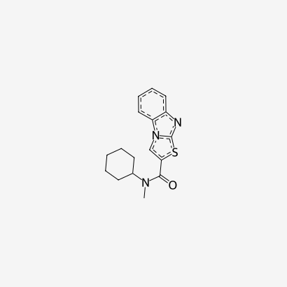 CN(C(=O)c1cn2c(nc3ccccc32)s1)C1CCCCC1